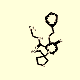 CCNC(=O)c1c(OCc2ccccc2)c(=O)ccn1C1(CO)CCOC1